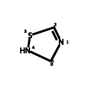 [C]1N=CSN1